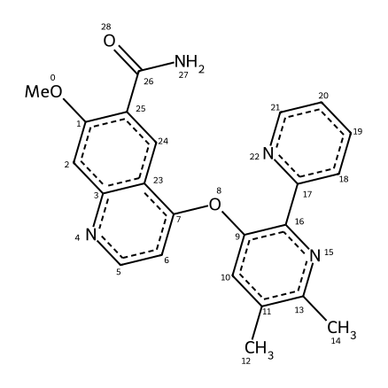 COc1cc2nccc(Oc3cc(C)c(C)nc3-c3ccccn3)c2cc1C(N)=O